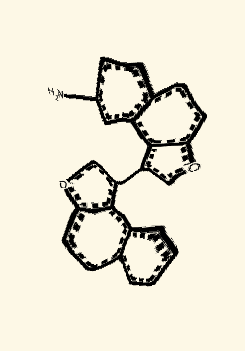 Nc1ccc2ccc3occ(-c4coc5ccc6ccccc6c45)c3c2c1